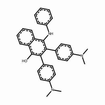 CN(C)c1ccc(-c2c(-c3ccc(N(C)C)cc3)c(Nc3ccccc3)c3ccccc3c2O)cc1